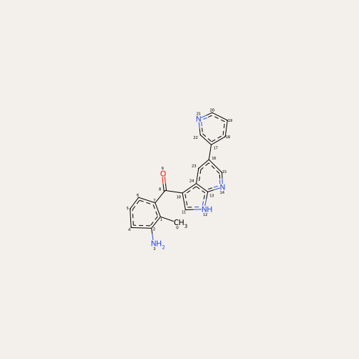 Cc1c(N)cccc1C(=O)c1c[nH]c2ncc(-c3cccnc3)cc12